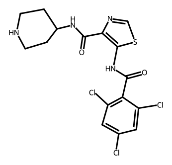 O=C(NC1CCNCC1)c1ncsc1NC(=O)c1c(Cl)cc(Cl)cc1Cl